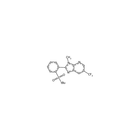 Cn1c(-c2ccccc2S(=O)(=O)C(C)(C)C)nc2cc(C(F)(F)F)cnc21